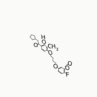 Cc1c(OCCCCOc2ccc(F)c(OC=O)c2)ccc(C(=O)CC2CCCC2)c1O